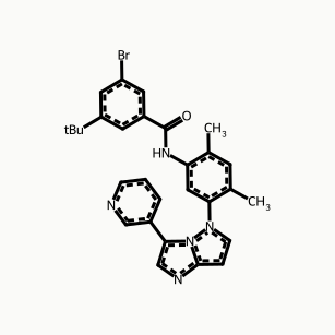 Cc1cc(C)c(-n2ccc3ncc(-c4cccnc4)n32)cc1NC(=O)c1cc(Br)cc(C(C)(C)C)c1